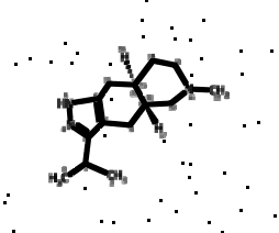 CC(C)c1n[nH]c2c1C[C@H]1CN(C)CC[C@@H]1C2